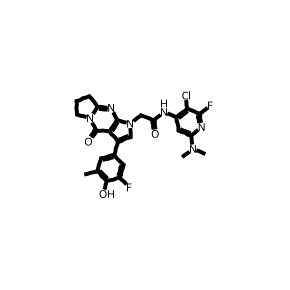 Cc1cc(-c2cn(CC(=O)Nc3cc(N(C)C)nc(F)c3Cl)c3nc4n(c(=O)c23)CCC4)cc(F)c1O